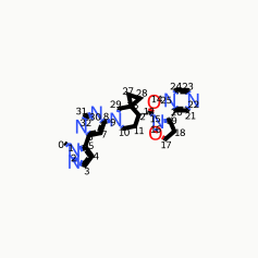 Cn1nccc1-c1cc(N2CC[C@@H](C(=O)N3OCC[C@H]3c3cnccn3)C3(CC3)C2)ncn1